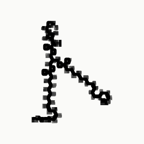 CC/C=C\C/C=C\C/C=C\CCCCCCCC(=O)OCC(COC(=O)CCCCCCC/C=C\C/C=C\CCCCC)COC(=O)NC1CN(CC(F)(F)F)C1